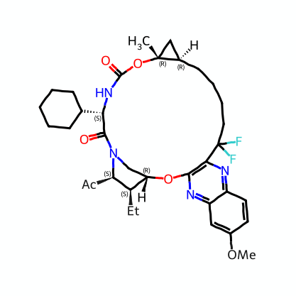 CC[C@@H]1[C@@H]2CN(C(=O)[C@H](C3CCCCC3)NC(=O)O[C@]3(C)C[C@H]3CCCCC(F)(F)c3nc4ccc(OC)cc4nc3O2)[C@@H]1C(C)=O